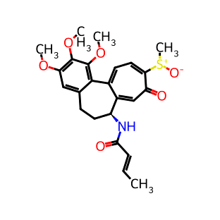 C/C=C/C(=O)N[C@H]1CCc2cc(OC)c(OC)c(OC)c2-c2ccc([S+](C)[O-])c(=O)cc21